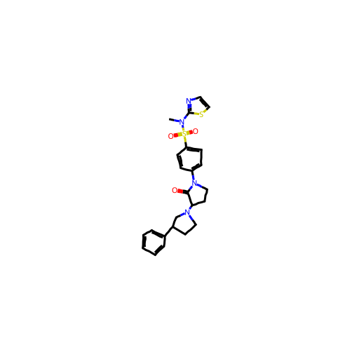 CN(c1nccs1)S(=O)(=O)c1ccc(N2CCC(N3CCC(c4ccccc4)C3)C2=O)cc1